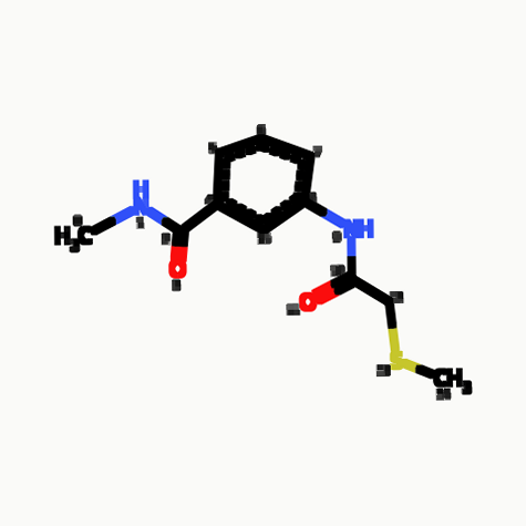 CNC(=O)c1cccc(NC(=O)CSC)c1